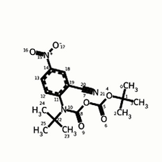 CC(C)(C)OC(=O)OC(=O)N(c1ccc([N+](=O)[O-])cc1C#N)C(C)(C)C